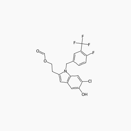 O=COCCc1cc2cc(O)c(Cl)cc2n1Cc1ccc(F)c(C(F)(F)F)c1